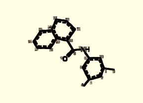 Cc1cc(C)cc(NC(=O)c2cccc3ccccc23)c1